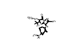 CCCCCCCc1c(C(C)(C)CC)nc2n(c1=O)N=C(C(C)C)C2=Nc1ccc(N(CC)CC)cc1C